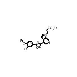 CCOC(=O)CCn1ccc2c(-c3noc(-c4ccc(OC(C)C)c(Cl)c4)n3)cncc21